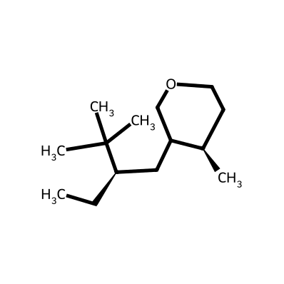 CC[C@H](CC1COCC[C@H]1C)C(C)(C)C